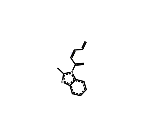 C=C/C=C\C(=C)n1c(C)nc2ccccc21